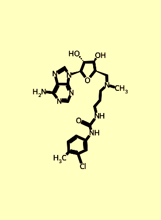 Cc1ccc(NC(=O)NCCCN(C)C[C@H]2O[C@@H](n3cnc4c(N)ncnc43)[C@H](O)[C@H]2O)cc1Cl